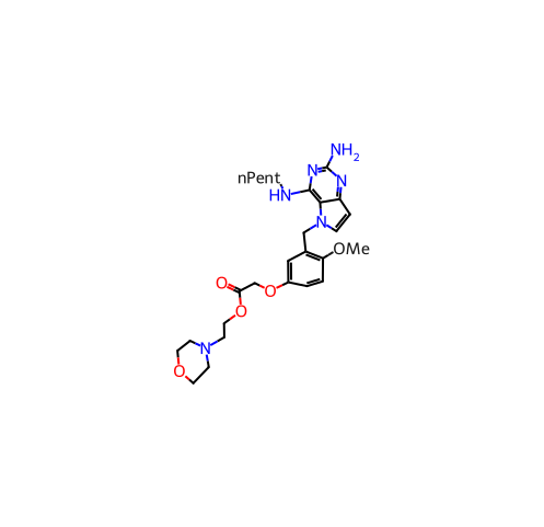 CCCCCNc1nc(N)nc2ccn(Cc3cc(OCC(=O)OCCN4CCOCC4)ccc3OC)c12